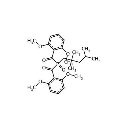 COc1cccc(OC)c1C(=O)P(=O)(CC(C)(C)CC(C)C)C(=O)c1c(OC)cccc1OC